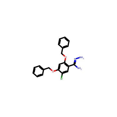 NN=C(N)c1cc(Br)c(OCc2ccccc2)cc1OCc1ccccc1